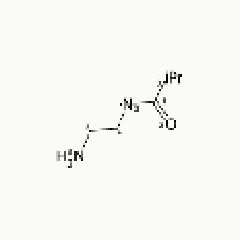 CC(C)C(=O)[N]CCN